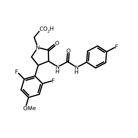 COc1cc(F)c(C2CN(CC(=O)O)C(=O)C2NC(=O)Nc2ccc(F)cc2)c(F)c1